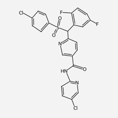 O=C(Nc1ccc(Cl)cn1)c1ccc(C(c2cc(F)ccc2F)S(=O)(=O)c2ccc(Cl)cc2)nc1